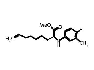 C=CCCCCC[C@H](Nc1ccc(F)c(C)c1)C(=O)OC